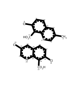 Cc1cnc2c(C(=O)O)c(Cl)ccc2c1.O=C(O)c1c(Cl)ccc2cc(Cl)cnc12